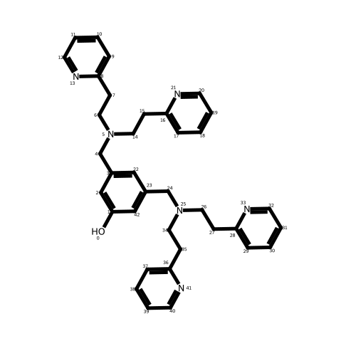 Oc1cc(CN(CCc2ccccn2)CCc2ccccn2)cc(CN(CCc2ccccn2)CCc2ccccn2)c1